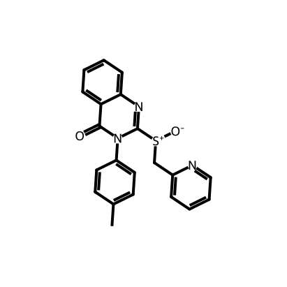 Cc1ccc(-n2c([S+]([O-])Cc3ccccn3)nc3ccccc3c2=O)cc1